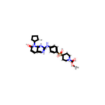 C[C@H]1CCCC1n1c(=O)ccc2cnc(Nc3ccc(S(=O)(=O)C4CCN(C(=O)OC(C)(C)C)CC4)cc3)nc21